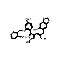 CCCCn1cc(C=C(Cc2cc3c(cc2OC)OCO3)C(=O)O)c(-c2ccc(OC)cc2OCc2ccccc2C(=O)O)n1